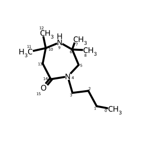 CCCCN1CC(C)(C)NC(C)(C)CC1=O